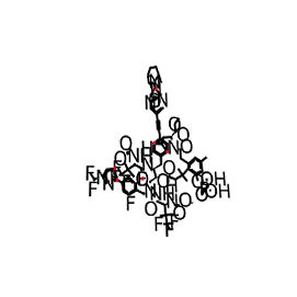 C=C1C[C@@H](C(=O)OC)N(C(=O)Cc2cc(C)cc(OP(=O)(O)O)c2C(C)(C)CC(=O)O[C@@H](CN(Cc2c(F)cc(-c3ccn(C(F)F)n3)cc2F)NC(=O)[C@@H](NC(=O)OC)C(C)(C)C(F)(F)F)[C@H](Cc2ccc(C#Cc3cnc(N4CC5CCC(C4)N5C4COC4)nc3)cc2)NC(=O)[C@@H](NC(=O)OC)C(C)(C)C(F)(F)F)C1